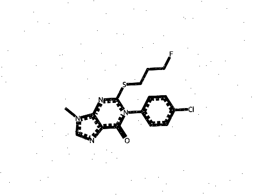 Cn1cnc2c(=O)n(-c3ccc(Cl)cc3)c(SCCCF)nc21